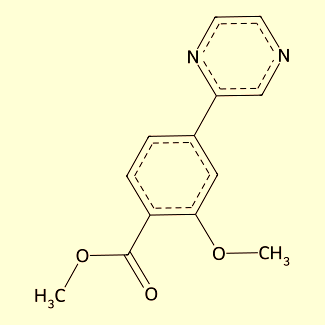 COC(=O)c1ccc(-c2cnccn2)cc1OC